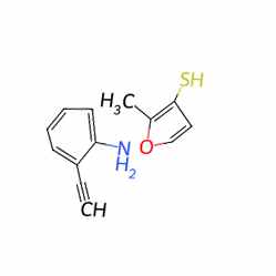 C#Cc1ccccc1N.Cc1occc1S